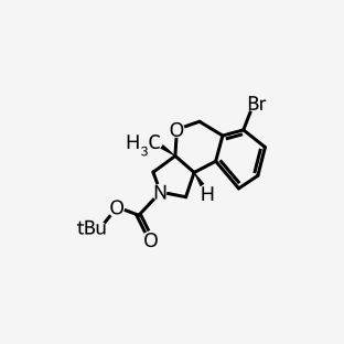 CC(C)(C)OC(=O)N1C[C@H]2c3cccc(Br)c3CO[C@@]2(C)C1